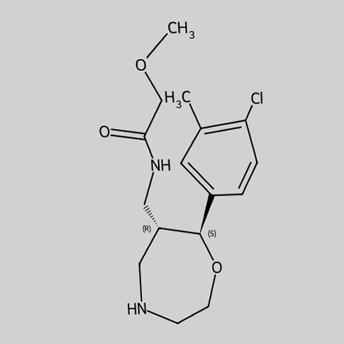 COCC(=O)NC[C@H]1CNCCO[C@@H]1c1ccc(Cl)c(C)c1